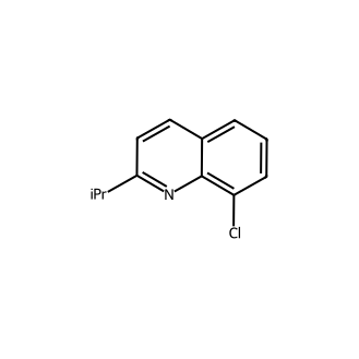 CC(C)c1ccc2cccc(Cl)c2n1